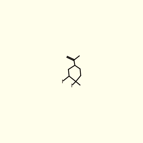 C=C(C)C1CCC(C)(I)C(I)C1